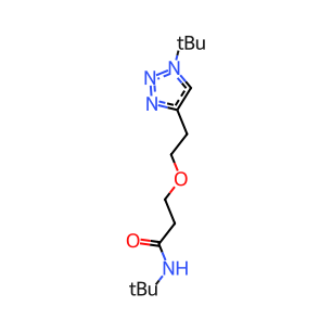 CC(C)(C)NC(=O)CCOCCc1cn(C(C)(C)C)nn1